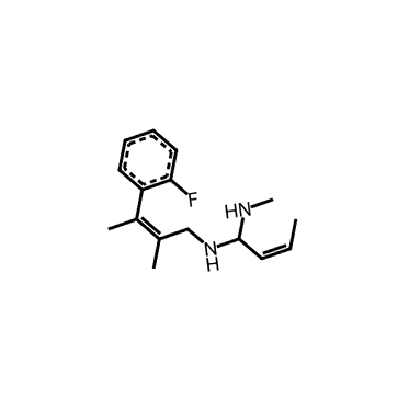 C/C=C\C(NC)NC/C(C)=C(/C)c1ccccc1F